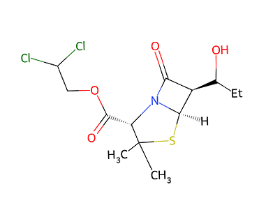 CCC(O)[C@@H]1C(=O)N2[C@@H]1SC(C)(C)[C@@H]2C(=O)OCC(Cl)Cl